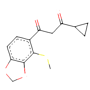 CSc1c(C(=O)CC(=O)C2CC2)ccc2c1OCO2